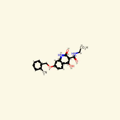 N#Cc1ccccc1COc1ccc2c(O)c(C(=O)NCC(=O)O)c(=O)[nH]c2c1